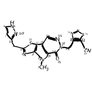 Cn1c2nc(Cc3cc[nH]n3)sc2c2cnn(Cc3ncsc3C#N)c(=O)c21